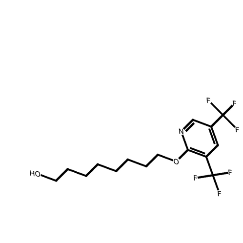 OCCCCCCCCOc1ncc(C(F)(F)F)cc1C(F)(F)F